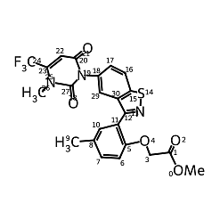 COC(=O)COc1ccc(C)cc1-c1nsc2ccc(-n3c(=O)cc(C(F)(F)F)n(C)c3=O)cc12